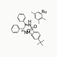 CC(C)(C)c1ccc(S(=O)(=O)N[C@H](c2ccccc2)[C@H](N)c2ccccc2)cc1.Cc1ccc(C)c(C)c1.[Ru]